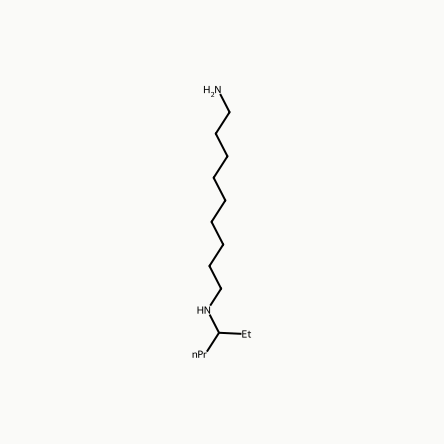 CCCC(CC)NCCCCCCCCCN